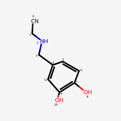 N#CCNCc1ccc(O)c(O)c1